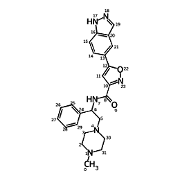 CN1CCN(CC(NC(=O)c2cc(-c3ccc4[nH]ncc4c3)on2)c2ccccc2)CC1